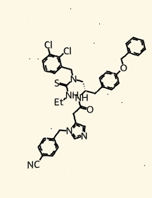 CCNC(=S)N(Cc1cccc(Cl)c1Cl)C[C@H](Cc1ccc(OCc2ccccc2)cc1)NC(=O)Cc1cncn1Cc1ccc(C#N)cc1